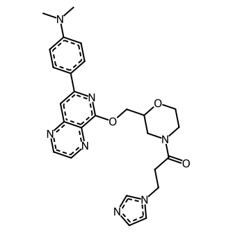 CN(C)c1ccc(-c2cc3nccnc3c(OCC3CN(C(=O)CCn4ccnc4)CCO3)n2)cc1